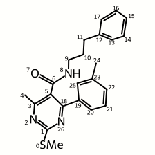 CSc1nc(C)c(C(=O)NCCCc2ccccc2)c(-c2cccc(C)c2)n1